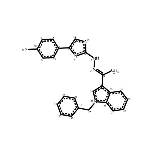 C/C(=N\Nc1nc(-c2ccc(F)cc2)cs1)c1cn(Cc2ccccc2)c2ccccc12